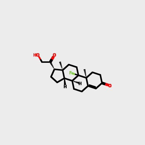 C[C@]12CC[C@@]3(F)[C@@H](CCC4=CC(=O)CC[C@@]43C)[C@@H]1CC[C@@H]2C(=O)CO